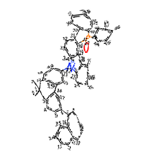 CC1(C)c2ccc(-c3cccc4ccccc34)cc2-c2cc(-n3c4ccccc4c4c5c(ccc43)-c3ccccc3P5(=O)c3ccccc3)ccc21